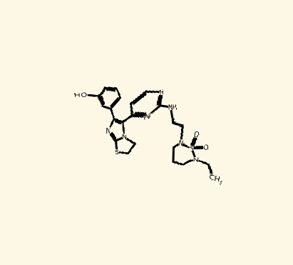 CCN1CCCN(CCNc2nccc(-c3c(-c4cccc(O)c4)nc4n3CCS4)n2)S1(=O)=O